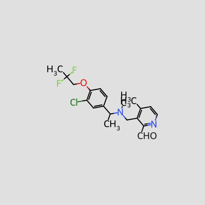 Cc1ccnc(C=O)c1CN(C)C(C)c1ccc(OCC(C)(F)F)c(Cl)c1